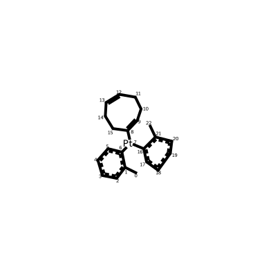 Cc1cccc[c]1[Pt]([C]1=CCCC=CCC1)[c]1ccccc1C